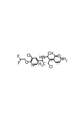 CC(NC(C)c1cnc(OCC(F)F)c(Cl)c1)/C(CCl)=C(C=O)/C=C\N